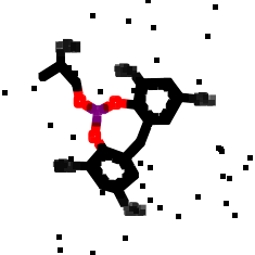 CCCCC(C)COP1Oc2c(cc(C(C)(C)C)cc2C(C)(C)C)Cc2cc(C(C)(C)C)cc(C(C)(C)C)c2O1